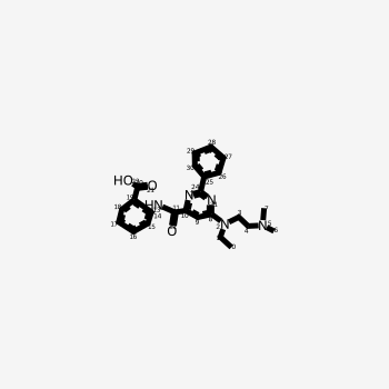 CCN(CCN(C)C)c1cc(C(=O)Nc2ccccc2C(=O)O)nc(-c2ccccc2)n1